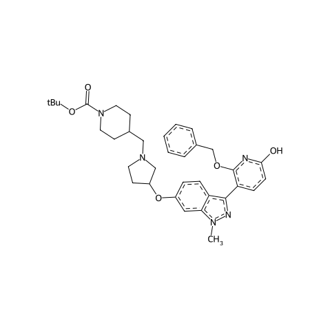 Cn1nc(-c2ccc(O)nc2OCc2ccccc2)c2ccc(OC3CCN(CC4CCN(C(=O)OC(C)(C)C)CC4)C3)cc21